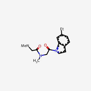 CCc1ccc2ccn(C(=O)CN(C)C(=O)CNC)c2c1